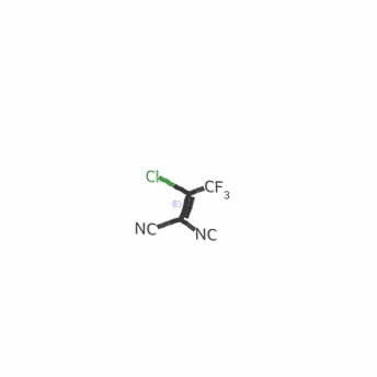 [C-]#[N+]/C(C#N)=C(/Cl)C(F)(F)F